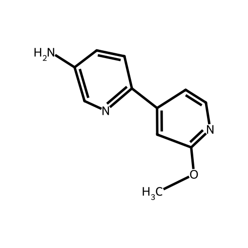 COc1cc(-c2ccc(N)cn2)ccn1